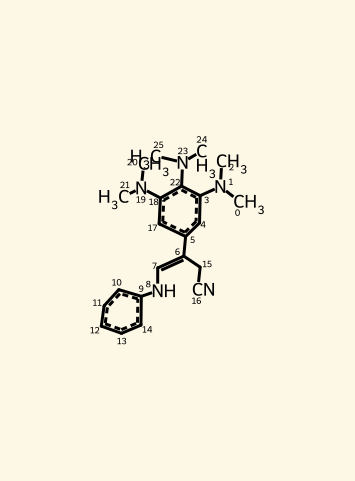 CN(C)c1cc(C(=CNc2ccccc2)CC#N)cc(N(C)C)c1N(C)C